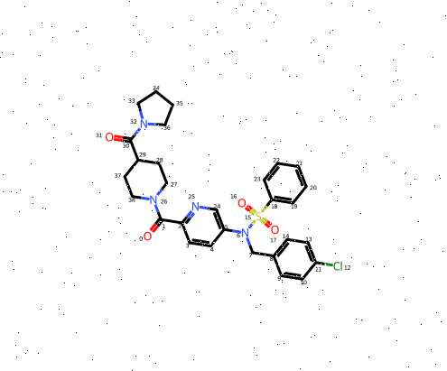 O=C(c1ccc(N(Cc2ccc(Cl)cc2)S(=O)(=O)c2ccccc2)cn1)N1CCC(C(=O)N2CCCC2)CC1